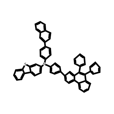 c1ccc(-c2c(-c3ccccc3)c3cc(-c4ccc(N(c5ccc(-c6ccc7ccccc7c6)cc5)c5ccc6c(c5)sc5ccccc56)cc4)ccc3c3ccccc23)cc1